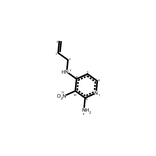 C=CCNc1ccnc(N)c1[N+](=O)[O-]